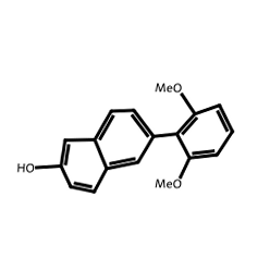 COc1cccc(OC)c1-c1ccc2cc(O)ccc2c1